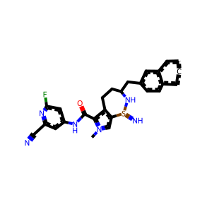 Cn1cc2c(c1C(=O)Nc1cc(F)nc(C#N)c1)CCC(Cc1ccc3ccccc3c1)NS2=N